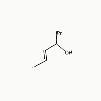 [CH2]C=CC(O)C(C)C